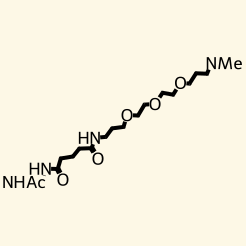 CNCCCOCCOCCOCCCNC(=O)CCCC(=O)NNC(C)=O